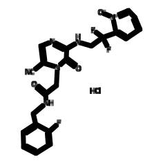 Cl.N#Cc1cnc(NCC(F)(F)c2cccc[n+]2[O-])c(=O)n1CC(=O)NCc1ccccc1F